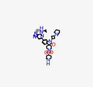 CC(C)n1cnc2cc(-c3ccc4c(c3)N([C@H]3C[C@@H](N5CCCCC5)C3)C(=O)C43CCN(S(=O)(=O)C4CCNCC4)CC3)nc(NC3CC3)c21